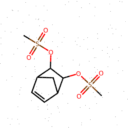 CS(=O)(=O)OC1C2C=CC(C2)C1OS(C)(=O)=O